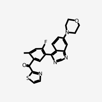 Cc1cc(F)c(-c2ncnc3cc(N4CCOCC4)ccc23)cc1C(=O)c1nccs1